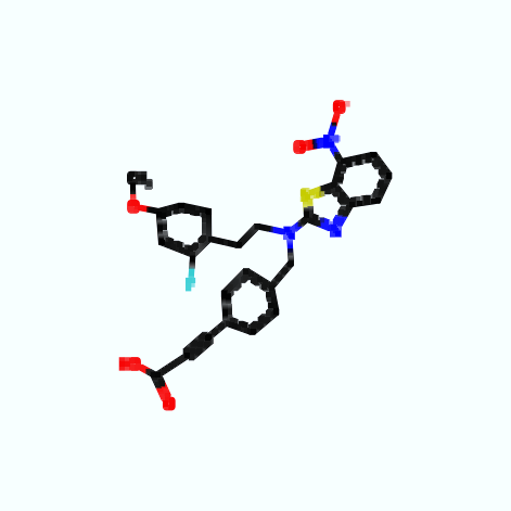 COc1ccc(CCN(Cc2ccc(C#CC(=O)O)cc2)c2nc3cccc([N+](=O)[O-])c3s2)c(F)c1